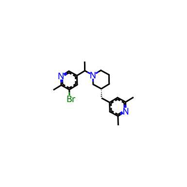 Cc1cc(C[C@H]2CCCN(C(C)c3cnc(C)c(Br)c3)C2)cc(C)n1